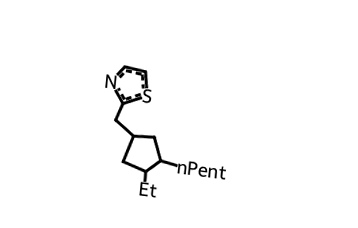 CCCCCC1CC(Cc2nccs2)CC1CC